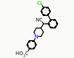 N#CC(c1ccccc1-c1ccc(Cl)cc1)C1CCN(c2ccc(C(=O)O)cc2)CC1